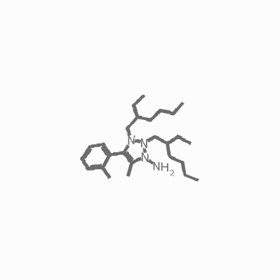 CCCCC(CC)CN1C(c2ccccc2C)=C(C)N(N)N1CC(CC)CCCC